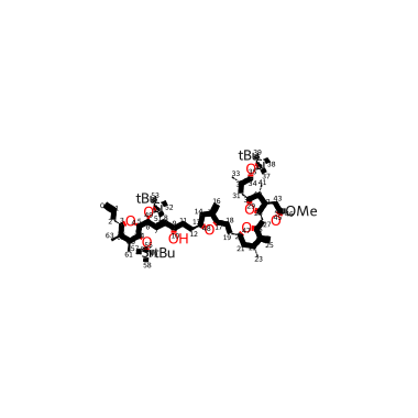 C=CC[C@@H]1O[C@@H]([C@H](/C=C/C(O)CC[C@H]2CC(=C)C(CC[C@H]3C[C@@H](C)C(=C)C(C[C@@H]4O[C@H](C[C@H](C)CO[Si](C)(C)C(C)(C)C)[C@H](C)[C@H]4CC(=O)OC)O3)O2)O[Si](C)(C)C(C)(C)C)[C@@H](O[Si](C)(C)C(C)(C)C)[C@@H](C)[C@H]1C